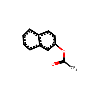 O=C(Oc1ccc2ccccc2c1)C(F)(F)F